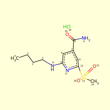 CCCCNc1cc(C(N)=O)cc(S(C)(=O)=O)n1.Cl